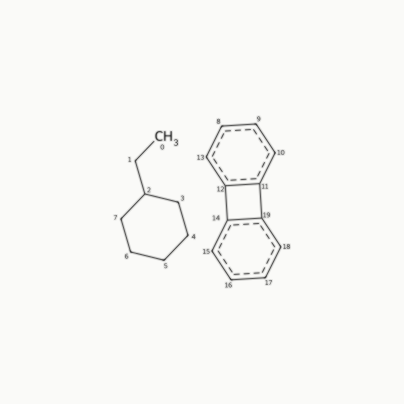 CCC1CCCCC1.c1ccc2c(c1)-c1ccccc1-2